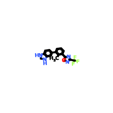 Cc1c(-c2ccc3c(c2)NCN3)cccc1-c1nc(C(F)(F)F)no1